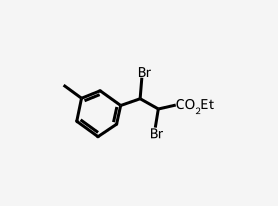 CCOC(=O)C(Br)C(Br)c1cccc(C)c1